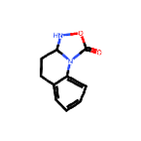 O=C1ONC2CCc3ccccc3N12